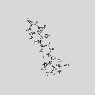 O=C(Nc1ccc(Oc2ncccc2C(F)(F)F)cc1)c1c(F)cc(F)cc1F